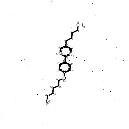 CCCCCc1cnc(-c2ccc(OCCCCCBr)cc2)nc1